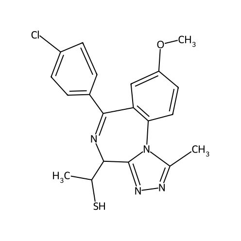 COc1ccc2c(c1)C(c1ccc(Cl)cc1)=NC(C(C)S)c1nnc(C)n1-2